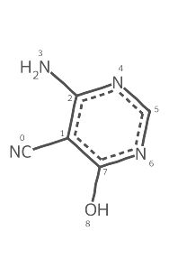 N#Cc1c(N)ncnc1O